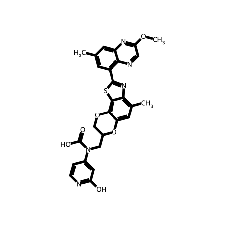 COc1cnc2c(-c3nc4c(C)cc5c(c4s3)OCC(CN(C(=O)O)c3ccnc(O)c3)O5)cc(C)cc2n1